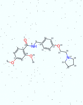 COc1ccc(C(=O)NCc2ccc(OCCN3CCCC3)cc2)c(OC)c1